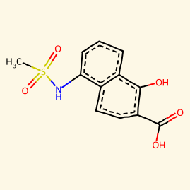 CS(=O)(=O)Nc1cccc2c(O)c(C(=O)O)ccc12